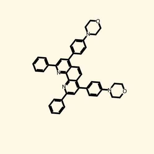 c1ccc(-c2cc(-c3ccc(N4CCOCC4)cc3)c3ccc4c(-c5ccc(N6CCOCC6)cc5)cc(-c5ccccc5)nc4c3n2)cc1